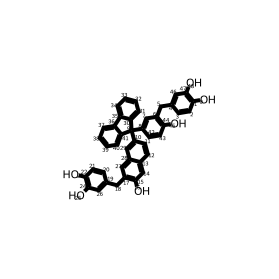 Oc1ccc(Cc2cc(C3(c4ccc5cc(O)c(Cc6ccc(O)c(O)c6)cc5c4)c4ccccc4-c4ccccc43)ccc2O)cc1O